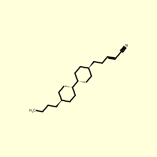 CCCC[C@H]1CC[C@H]([C@H]2CC[C@H](CCC=CC#N)CC2)CC1